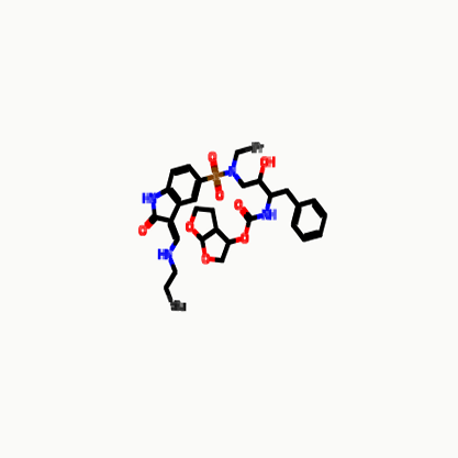 CC(C)CN(CC(O)C(Cc1ccccc1)NC(=O)OC1COC2OCCC12)S(=O)(=O)c1ccc2c(c1)C(=CNCCC(C)(C)C)C(=O)N2